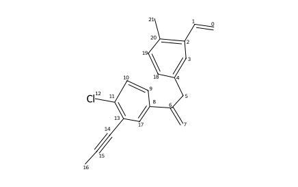 C=Cc1cc(CC(=C)c2ccc(Cl)c(C#CC)c2)ccc1C